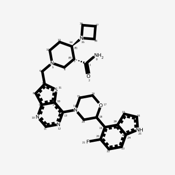 NC(=O)[C@@H]1CN(Cc2cc3ncnc(N4CCOC(c5c(F)ccc6[nH]ccc56)C4)c3s2)CC[C@H]1N1CCC1